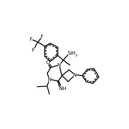 CC(C)N1CC(=O)N(C(C)([SiH3])c2ccc(C(F)(F)F)cc2)C2(CN(c3ccccc3)C2)C1=N